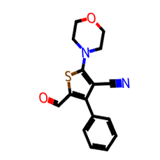 N#Cc1c(N2CCOCC2)sc(C=O)c1-c1ccccc1